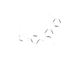 COc1ccc(F)c(-c2ccc(Cc3ccc(N4N=C(C(F)(F)F)[C@@H](C)[C@@H]4CC#N)cc3)c(C)c2)c1